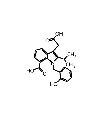 CC(C)c1c(CC(=O)O)c2cccc(C(=O)O)c2n1Cc1ccccc1O